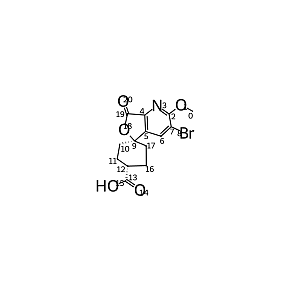 COc1nc2c(cc1Br)[C@]1(CC[C@@H](C(=O)O)CC1)OC2=O